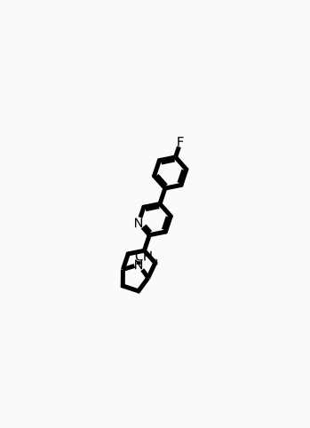 CN1C2CCC1CC(c1ccc(-c3ccc(F)cc3)cn1)C2